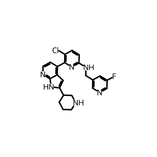 Fc1cncc(CNc2ccc(Cl)c(-c3ccnc4[nH]c(C5CCCNC5)cc34)n2)c1